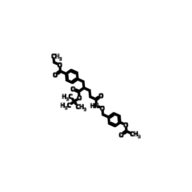 CCOC(=O)c1ccc(CC(CCC(=O)NOCc2ccc(OC(C)=O)cc2)C(=O)OC(C)(C)C)cc1